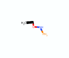 C=CONP